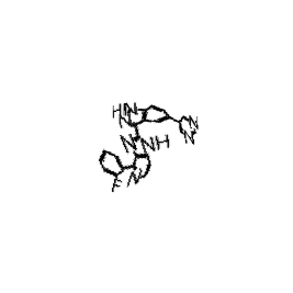 Fc1ccccc1-c1nccc2[nH]c(-c3n[nH]c4ccc(-c5cncnc5)cc34)nc12